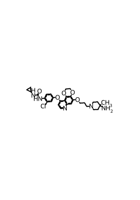 CC1(N)CCN(CCCOc2cc3nccc(Oc4ccc(NC(=O)NC5CC5)c(Cl)c4)c3c3c2OCCO3)CC1